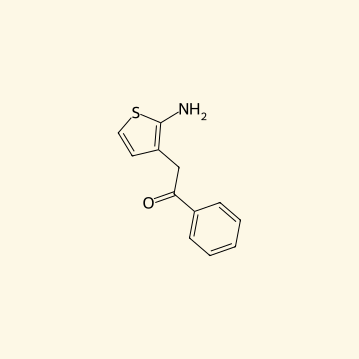 Nc1sccc1CC(=O)c1ccccc1